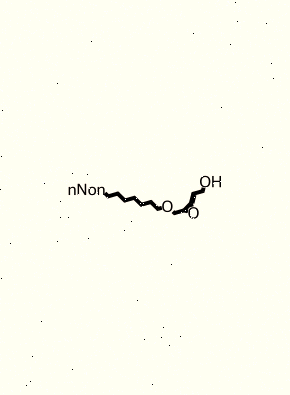 CCCCCCCCCCCCCCCCOCC1OC1=CCO